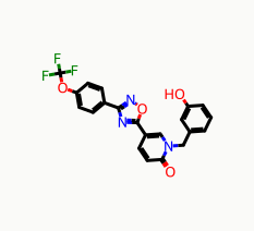 O=c1ccc(-c2nc(-c3ccc(OC(F)(F)F)cc3)no2)cn1Cc1cccc(O)c1